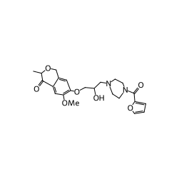 COc1cc2c(cc1OCC(O)CN1CCN(C(=O)c3ccco3)CC1)COC(C)C2=O